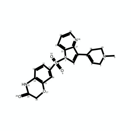 CN1CC=C(c2cn(S(=O)(=O)c3ccc4c(c3)OCC(=O)N4)c3cccnc23)CC1